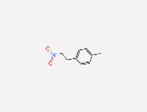 Cc1ccc(C[CH][N+](=O)[O-])cc1